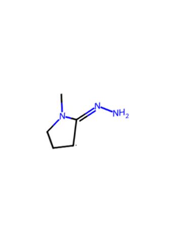 CN1CC[CH]C1=NN